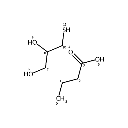 CCCC(=O)O.OCC(O)CS